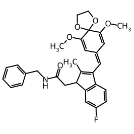 COC1=CC(=CC2=C(C)C(CC(=O)NCc3ccccc3)c3cc(F)ccc32)C=C(OC)C12OCCO2